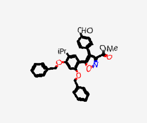 COC(=O)c1noc(-c2cc(C(C)C)c(OCc3ccccc3)cc2OCc2ccccc2)c1-c1ccc(C=O)cc1